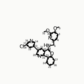 COc1ccc(CNC(=O)c2cc(-c3cncc(Cl)c3)cnc2-c2ccccc2)nc1OC